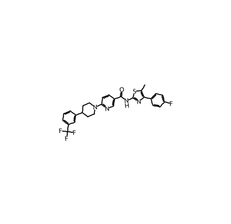 Cc1sc(NC(=O)c2ccc(N3CCC(c4cccc(C(F)(F)F)c4)CC3)nc2)nc1-c1ccc(F)cc1